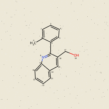 Cc1ccccc1-c1nc2ccccc2cc1CO